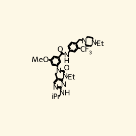 CCN1CCN(Cc2ccc(NC(=O)c3cc(OC)cc(N4Cc5cnc(NC(C)C)nc5N(CC)C4=O)c3)cc2C(F)(F)F)CC1